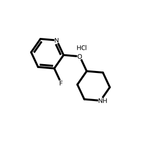 Cl.Fc1cccnc1OC1CCNCC1